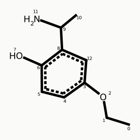 CCOc1ccc(O)c(C(C)N)c1